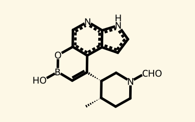 C[C@H]1CCN(C=O)C[C@H]1C1=CB(O)Oc2cnc3[nH]ccc3c21